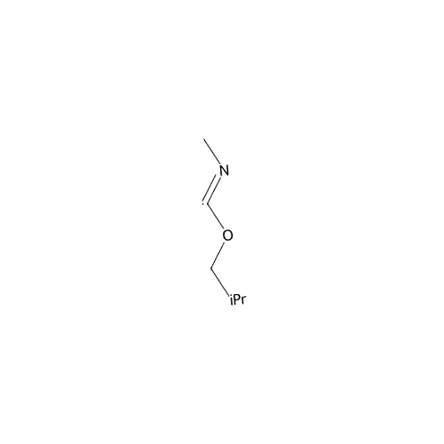 C/N=[C]/OCC(C)C